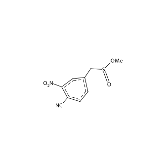 COS(=O)Cc1ccc(C#N)c([N+](=O)[O-])c1